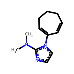 CN(C)c1nccn1C1=CCCCC=C1